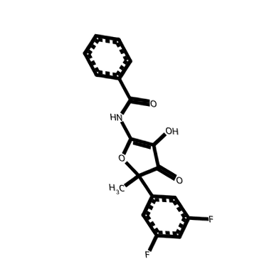 CC1(c2cc(F)cc(F)c2)OC(NC(=O)c2ccccc2)=C(O)C1=O